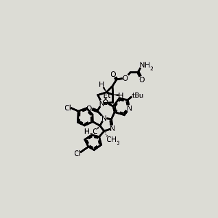 CCOc1cc(C(C)(C)C)ncc1C1=N[C@@](C)(c2ccc(Cl)cc2)[C@@](C)(c2ccc(Cl)cc2)N1C(=O)N1C[C@@H]2C(C(=O)OCC(N)=O)[C@@H]2C1